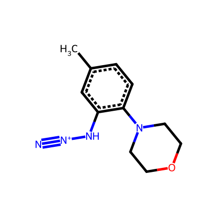 Cc1ccc(N2CCOCC2)c(N[N+]#N)c1